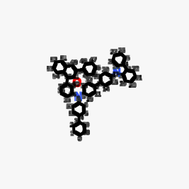 c1ccc(-c2ccc(N(c3ccc(-c4ccc(-n5c6ccccc6c6ccccc65)cc4)cc3)c3cccc4c3oc3c(-c5ccccc5)cc5ccccc5c34)cc2)cc1